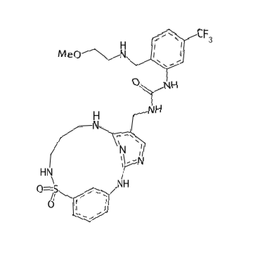 COCCNCc1ccc(C(F)(F)F)cc1NC(=O)NCc1cnc2nc1NCCCNS(=O)(=O)c1cccc(c1)N2